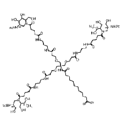 CC(=O)N[C@@H](CO)CN(C(=O)CCCC(=O)NCCCNC(=O)CCOCC(COCCC(=O)NCCCNC(=O)CCCC(=O)N1C[C@@H](NC(C)=O)C(O)C(O)C1CO)(COCCC(=O)NCCCNC(=O)CCCC(=O)N(C[C@H](CO)NC(C)=O)C(CO)[C@@H](C)O)NC(=O)CCCCCCCCCCC(=O)C(C)C)C(CO)[C@@H](C)O